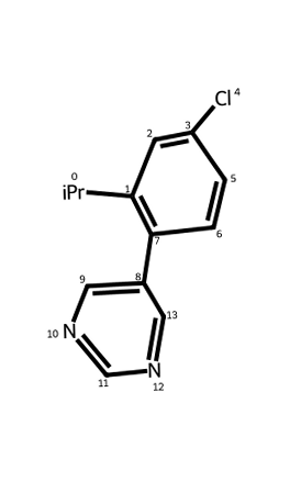 CC(C)c1cc(Cl)ccc1-c1cncnc1